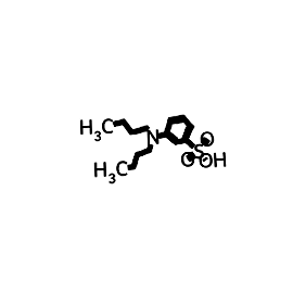 CCCCN(CCCC)c1cccc(S(=O)(=O)O)c1